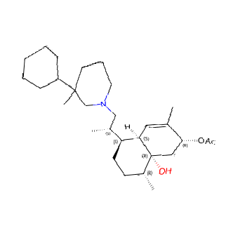 CC(=O)O[C@@H]1[C][C@@]2(O)[C@H](C)CC[C@@H]([C@H](C)CN3CCCC(C)(C4CCCCC4)C3)[C@H]2C=C1C